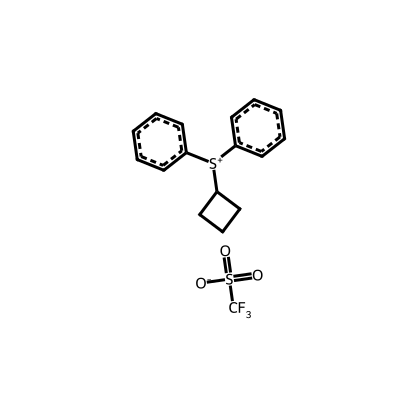 O=S(=O)([O-])C(F)(F)F.c1ccc([S+](c2ccccc2)C2CCC2)cc1